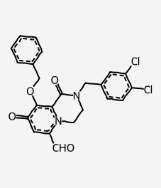 O=Cc1cc(=O)c(OCc2ccccc2)c2n1CCN(Cc1ccc(Cl)c(Cl)c1)C2=O